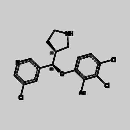 CC(=O)c1c(O[C@@H](c2cncc(Cl)c2)[C@H]2CCNC2)ccc(Cl)c1Cl